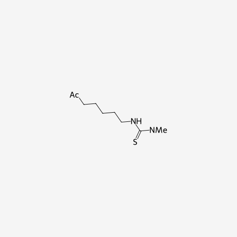 CNC(=S)NCCCCCC(C)=O